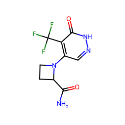 NC(=O)C1CCN1c1cn[nH]c(=O)c1C(F)(F)F